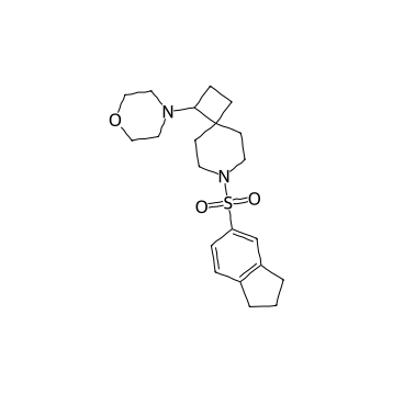 O=S(=O)(c1ccc2c(c1)CCC2)N1CCC2(CCC2N2CCOCC2)CC1